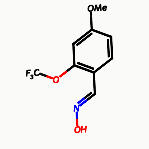 COc1ccc(C=NO)c(OC(F)(F)F)c1